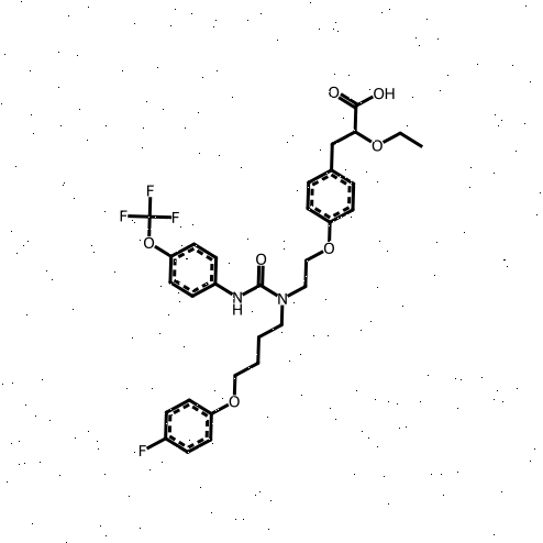 CCOC(Cc1ccc(OCCN(CCCCOc2ccc(F)cc2)C(=O)Nc2ccc(OC(F)(F)F)cc2)cc1)C(=O)O